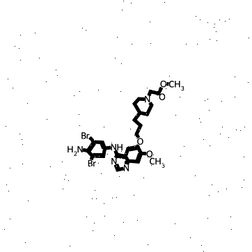 COC(=O)CN1CCC(CCCOc2cc3c(Nc4cc(Br)c(N)c(Br)c4)ncnc3cc2OC)CC1